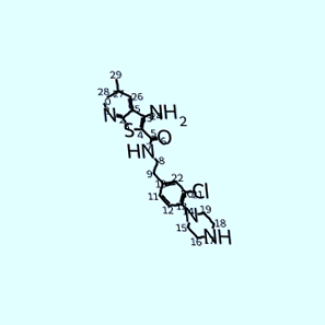 C/N=C1/SC(C(=O)NCCc2ccc(N3CCNCC3)c(Cl)c2)=C(N)/C1=C/C(C)C